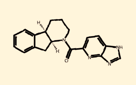 O=C(c1ccc2[nH]cnc2n1)N1CCC[C@@H]2c3ccccc3C[C@@H]21